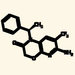 C[C@@H](c1ccccc1)N1C(=O)COc2nc(N)c(C(F)(F)F)cc21